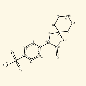 CS(=O)(=O)c1ccc(N2CC3(CCNCC3)OC2=O)nc1